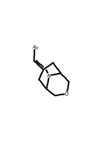 CC(=O)C=C1CC2COCC(C1)N2C